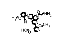 CCOc1ncccc1-c1ccc2c(n1)CN(C(=O)CCN)CC21CCN(c2cccc(OC)c2C#N)CC1.O=CO